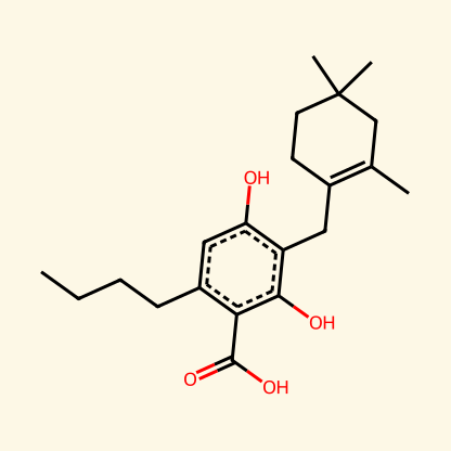 CCCCc1cc(O)c(CC2=C(C)CC(C)(C)CC2)c(O)c1C(=O)O